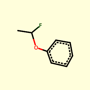 CC(F)Oc1ccccc1